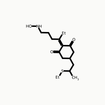 CCSC(C)CC1CC(=O)C(=C(CC)CCCNO)C(=O)C1